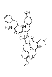 COc1ccc(CC(NC(=O)C(CC(C)C)NC(=O)CN)C(=O)NC(Cc2ccc(O)cc2)C(=O)NC(Cc2ccccc2)C(N)=O)cc1